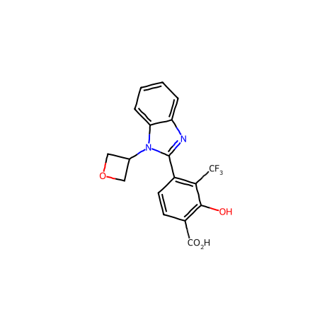 O=C(O)c1ccc(-c2nc3ccccc3n2C2COC2)c(C(F)(F)F)c1O